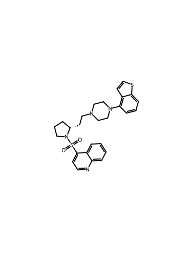 O=S(=O)(c1ccnc2ccccc12)N1CCC[C@@H]1CCN1CCN(c2cccc3sccc23)CC1